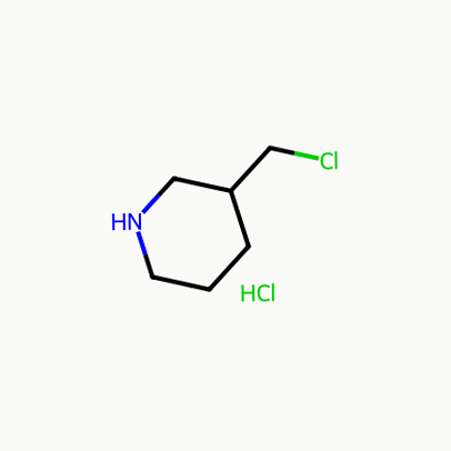 Cl.ClCC1CCCNC1